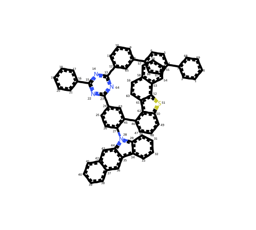 c1ccc(-c2ccc(-c3cccc(-c4nc(-c5ccccc5)nc(-c5ccc(-n6c7ccccc7c7cc8ccccc8cc76)c(-c6cccc7sc8c9ccccc9ccc8c67)c5)n4)c3)cc2)cc1